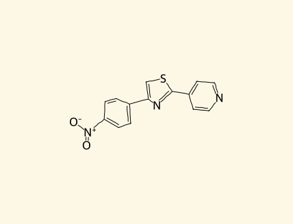 O=[N+]([O-])c1ccc(-c2csc(-c3ccncc3)n2)cc1